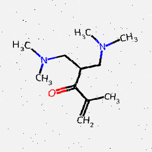 C=C(C)C(=O)C(CN(C)C)CN(C)C